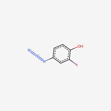 [N-]=[N+]=Nc1ccc(O)c(I)c1